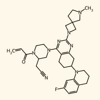 C=CC(=O)N1CCN(c2nc(N3CC4(CCN(C)C4)C3)nc3c2CCC(N2CCCc4ccc(F)cc42)C3)CC1CC#N